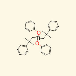 CC(C)([CH2][Ti]([CH2]C(C)(C)c1ccccc1)([O]c1ccccc1)[O]c1ccccc1)c1ccccc1